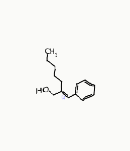 CCCCC/C(=C\c1ccccc1)CO